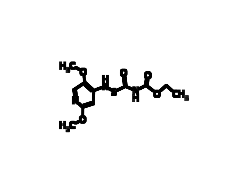 CCOC(=O)NC(=O)SNc1cc(OC)ncc1OC